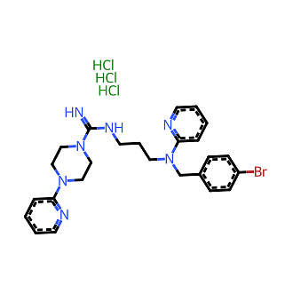 Cl.Cl.Cl.N=C(NCCCN(Cc1ccc(Br)cc1)c1ccccn1)N1CCN(c2ccccn2)CC1